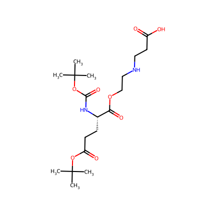 CC(C)(C)OC(=O)CC[C@H](NC(=O)OC(C)(C)C)C(=O)OCCNCCC(=O)O